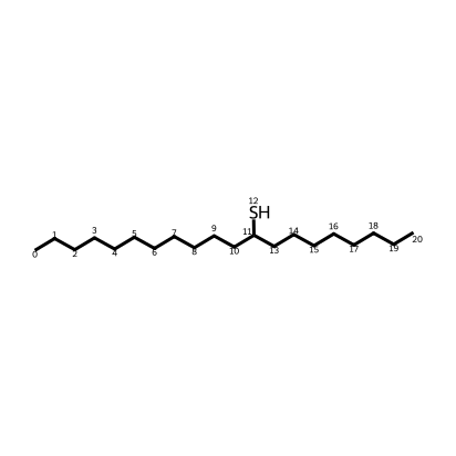 CCCCCCCCCCCC(S)CCCCCCCC